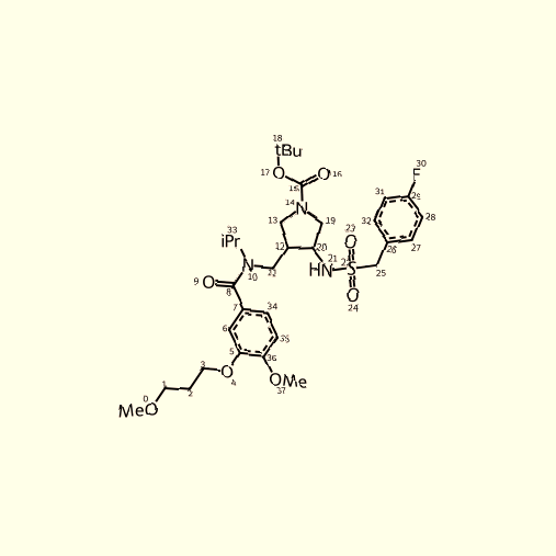 COCCCOc1cc(C(=O)N(CC2CN(C(=O)OC(C)(C)C)CC2NS(=O)(=O)Cc2ccc(F)cc2)C(C)C)ccc1OC